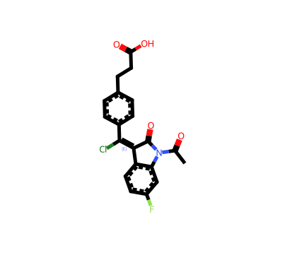 CC(=O)N1C(=O)/C(=C(/Cl)c2ccc(CCC(=O)O)cc2)c2ccc(F)cc21